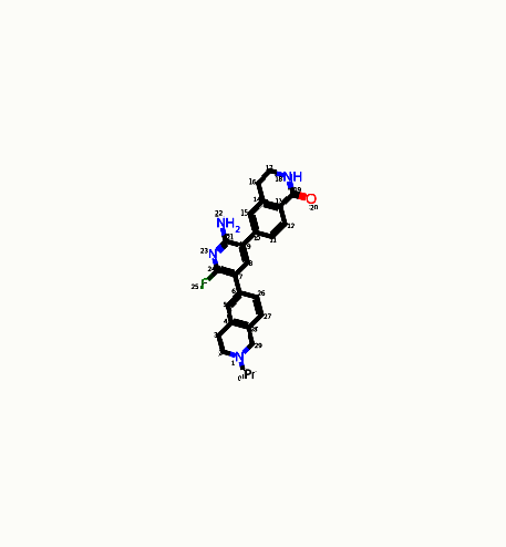 CC(C)N1CCc2cc(-c3cc(-c4ccc5c(c4)CCNC5=O)c(N)nc3F)ccc2C1